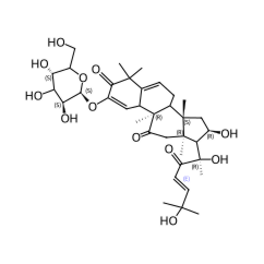 CC(C)(O)/C=C/C(=O)[C@](C)(O)C1[C@H](O)C[C@@]2(C)C3CC=C4C(C=C(O[C@@H]5OC(CO)[C@@H](O)C(O)[C@@H]5O)C(=O)C4(C)C)[C@]3(C)C(=O)C[C@]12C